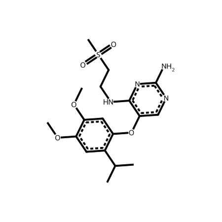 COc1cc(Oc2cnc(N)nc2NCCS(C)(=O)=O)c(C(C)C)cc1OC